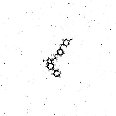 CN1CCC(Oc2cc(NC(=O)c3n[nH]c4ccc(-c5cccnc5)cc34)ccn2)CC1